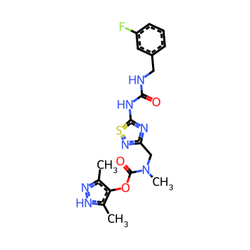 Cc1n[nH]c(C)c1OC(=O)N(C)Cc1nsc(NC(=O)NCc2cccc(F)c2)n1